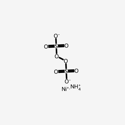 O=S(=O)([O-])OOS(=O)(=O)[O-].[NH4+].[Ni+]